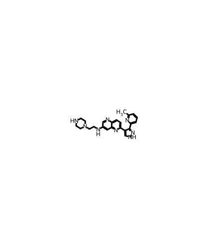 Cc1cccc(-c2n[nH]cc2-c2ccc3ncc(NCCN4CCNCC4)cc3n2)n1